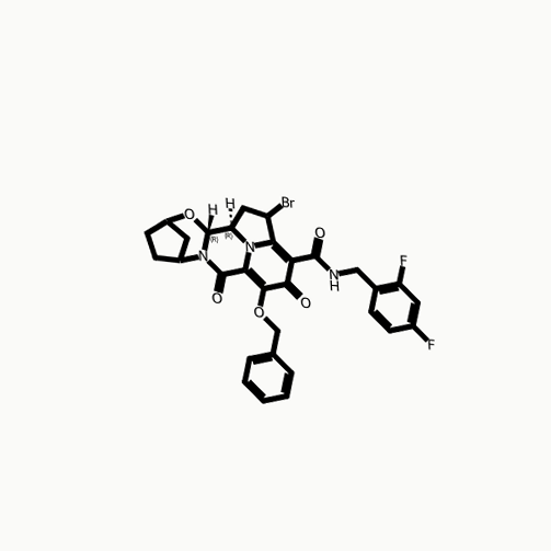 O=C(NCc1ccc(F)cc1F)c1c2n3c(c(OCc4ccccc4)c1=O)C(=O)N1C4CCC(C4)O[C@@H]1[C@H]3CC2Br